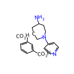 NC1CCCN(c2ccncc2)CC1.O=C(O)c1cccc(C(=O)O)c1